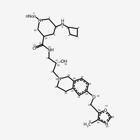 CCCCCCCCCN1CC(NC2CCC2)CC(C(=O)NC[C@H](O)CN2CCc3cc(OCc4ocnc4C)ccc3C2)C1